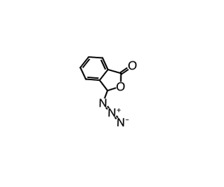 [N-]=[N+]=NC1OC(=O)c2ccccc21